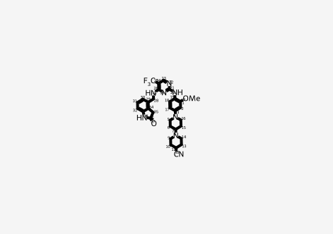 COc1cc(N2CCC(N3CCC(C#N)CC3)CC2)ccc1Nc1ncc(C(F)(F)F)c(NCc2cccc3c2CC(=O)N3)n1